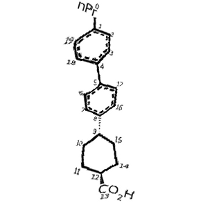 CCCc1ccc(-c2ccc([C@H]3CC[C@H](C(=O)O)CC3)cc2)cc1